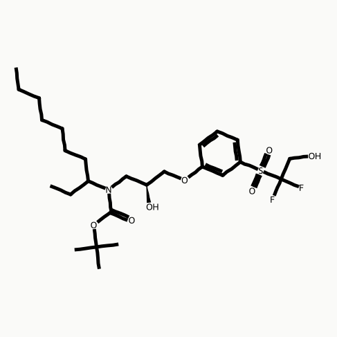 CCCCCCCC(CC)N(C[C@H](O)COc1cccc(S(=O)(=O)C(F)(F)CO)c1)C(=O)OC(C)(C)C